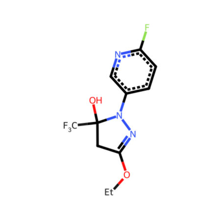 CCOC1=NN(c2ccc(F)nc2)C(O)(C(F)(F)F)C1